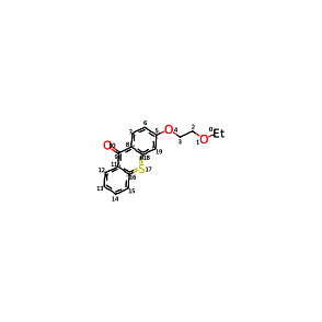 CCOCCOc1ccc2c(=O)c3ccccc3sc2c1